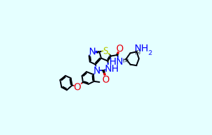 Cc1cc(Oc2ccccc2)ccc1N1C(=O)Nc2c(C(=O)N[C@H]3CCC[C@H](N)C3)sc3nccc1c23